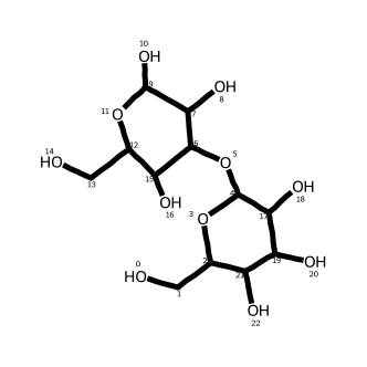 OCC1OC(OC2C(O)C(O)OC(CO)C2O)C(O)C(O)C1O